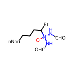 CCCCCCCCCCCCC(CC)[N+]([O-])(NC=O)NC=O